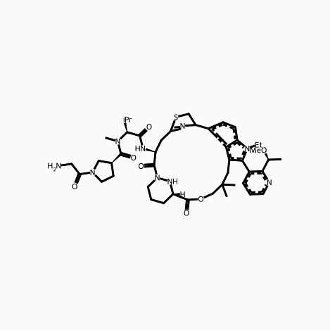 CCn1c(-c2cccnc2[C@H](C)OC)c2c3cc(ccc31)C1CSC(=N1)C[C@H](NC(=O)[C@H](C(C)C)N(C)C(=O)[C@H]1CCN(C(=O)CN)C1)C(=O)N1CCC[C@H](N1)C(=O)OCC(C)(C)C2